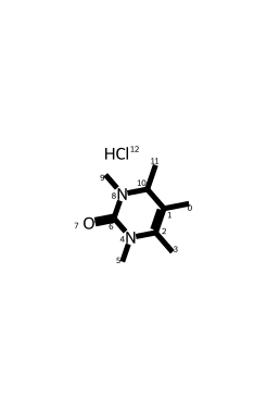 CC1=C(C)N(C)C(=O)N(C)C1C.Cl